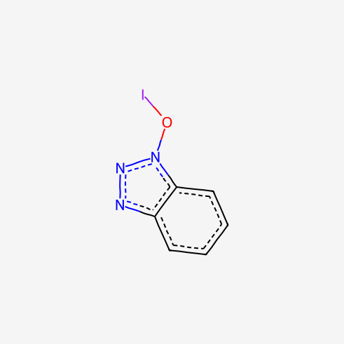 IOn1nnc2ccccc21